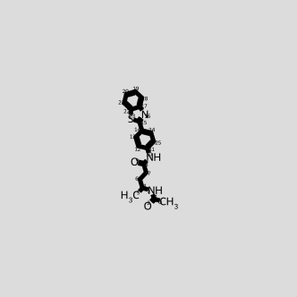 CC(=O)NC(C)CCC(=O)Nc1ccc(-c2nc3ccccc3s2)cc1